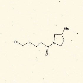 CC(C)CSCCC(=O)N1CCC(C(C)(C)C)C1